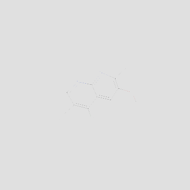 CCOC(=O)c1cnc2nc(C)c(OCC)cc2c1Cl